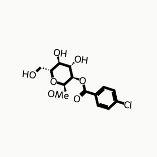 CO[C@H]1O[C@H](CO)[C@@H](O)[C@H](O)[C@H]1OC(=O)c1ccc(Cl)cc1